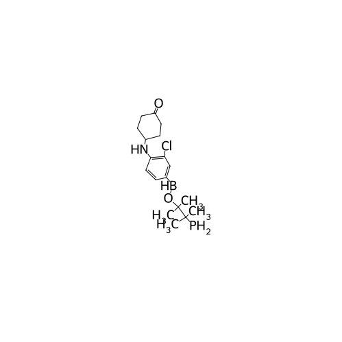 CC(C)(P)C(C)(C)OBc1ccc(NC2CCC(=O)CC2)c(Cl)c1